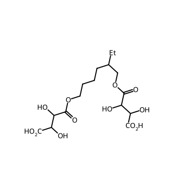 CCC(CCCCOC(=O)C(O)C(O)C(=O)O)COC(=O)C(O)C(O)C(=O)O